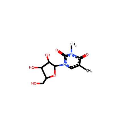 Cc1cn(C2OC(CO)C(O)C2O)c(=O)n(C)c1=O